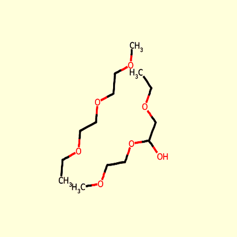 CCOCC(O)OCCOC.CCOCCOCCOC